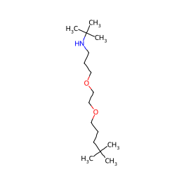 CC(C)(C)CCCOCCOCCCNC(C)(C)C